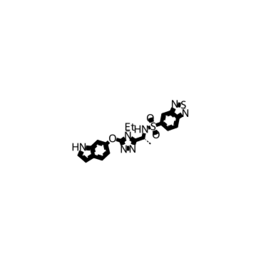 CCn1c(Oc2ccc3cc[nH]c3c2)nnc1[C@@H](C)NS(=O)(=O)c1ccc2nsnc2c1